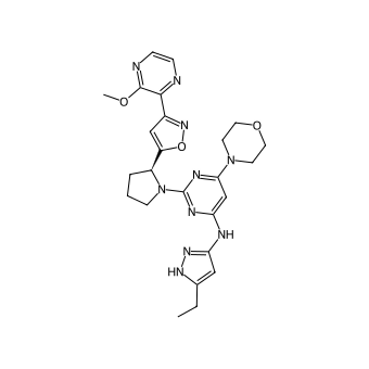 CCc1cc(Nc2cc(N3CCOCC3)nc(N3CCC[C@H]3c3cc(-c4nccnc4OC)no3)n2)n[nH]1